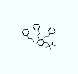 FC(F)C(F)(F)SC1=CO[C@H](COCc2ccccc2)[C@@H](OCc2ccccc2)[C@@H]1OCc1ccccc1